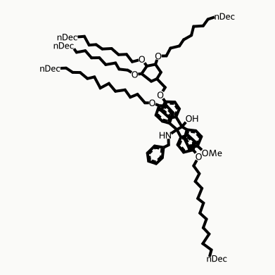 CCCCCCCCCCCCCCCCCCCCCCOc1ccc(C(NCc2ccccc2)(c2ccc(OCCCCCCCCCCCCCCCCCCCCCC)cc2)C(O)(c2ccc(OC)cc2)c2ccc(OCC3CC(OCCCCCCCCCCCCCCCCCC)C(OCCCCCCCCCCCCCCCCCC)C(OCCCCCCCCCCCCCCCCCC)C3)cc2)cc1